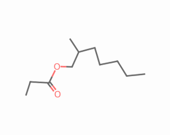 CCCCCC(C)COC(=O)CC